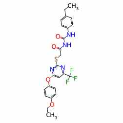 CCOc1ccc(Oc2cc(C(F)(F)F)nc(SCC(=O)NC(=O)Nc3ccc(CC)cc3)n2)cc1